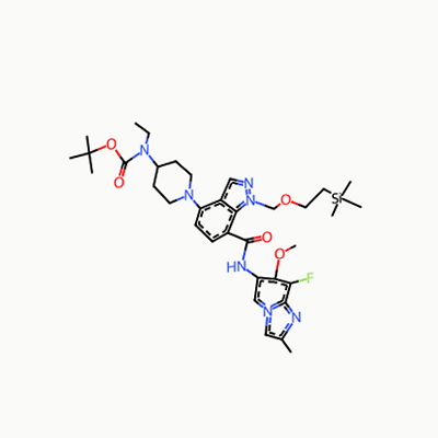 CCN(C(=O)OC(C)(C)C)C1CCN(c2ccc(C(=O)Nc3cn4cc(C)nc4c(F)c3OC)c3c2cnn3COCC[Si](C)(C)C)CC1